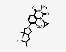 COc1c(N2CC(CC(C)N)C(F)(F)C2)ccc2c(=O)n(N)c(=O)n(C3CC3)c12